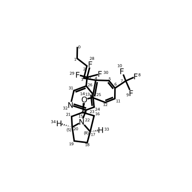 CCCCc1cc(C(F)(F)F)ccc1O[C@H]1C[C@H]2CC[C@@H](C1)N2c1ccc(C(F)(F)F)cn1